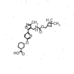 Cc1noc(-c2ccc(O[C@H]3CCC[C@H](C(=O)O)C3)cn2)c1CNC(=O)OCC1CC(C)(C)C1